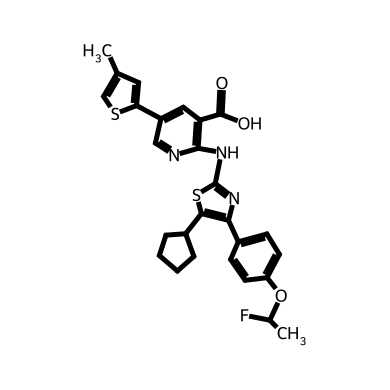 Cc1csc(-c2cnc(Nc3nc(-c4ccc(OC(C)F)cc4)c(C4CCCC4)s3)c(C(=O)O)c2)c1